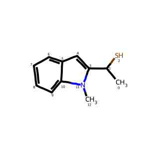 CC(S)c1cc2ccccc2n1C